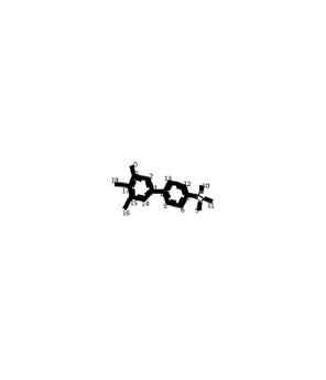 Cc1cc(-c2ccc(S(C)(C)C)cc2)cc(C)c1C